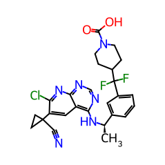 C[C@@H](Nc1ncnc2nc(Cl)c(C3(C#N)CC3)cc12)c1cccc(C(F)(F)C2CCN(C(=O)O)CC2)c1